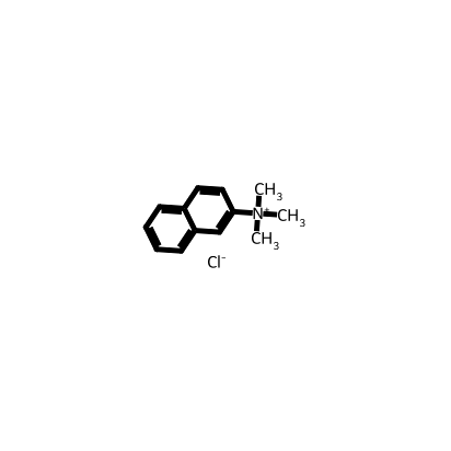 C[N+](C)(C)c1ccc2ccccc2c1.[Cl-]